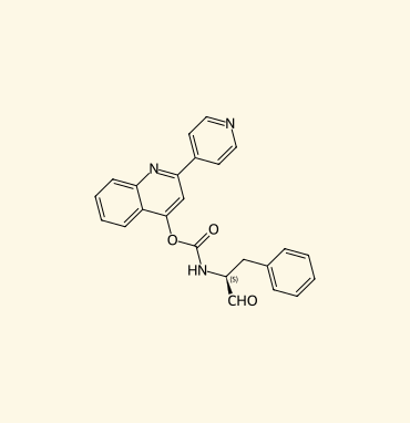 O=C[C@H](Cc1ccccc1)NC(=O)Oc1cc(-c2ccncc2)nc2ccccc12